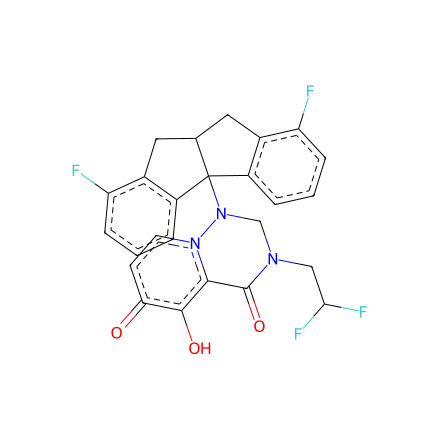 O=C1c2c(O)c(=O)ccn2N(C23c4cccc(F)c4CC2Cc2c(F)cccc23)CN1CC(F)F